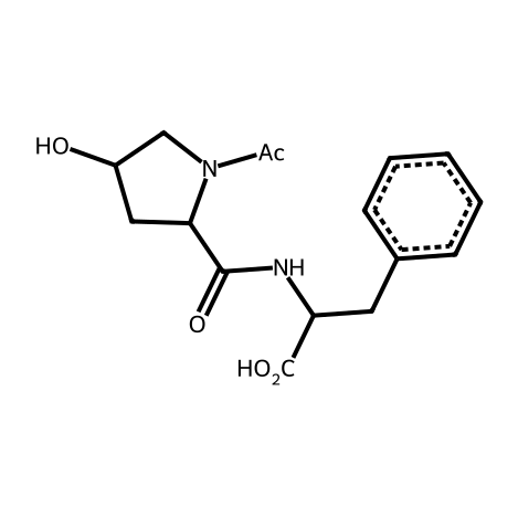 CC(=O)N1CC(O)CC1C(=O)NC(Cc1ccccc1)C(=O)O